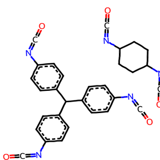 O=C=NC1CCC(N=C=O)CC1.O=C=Nc1ccc(C(c2ccc(N=C=O)cc2)c2ccc(N=C=O)cc2)cc1